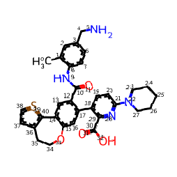 Cc1cc(CN)ccc1NC(=O)c1cc2c(cc1-c1ccc(N3CCCCC3)nc1C(=O)O)OCCc1ccsc1-2